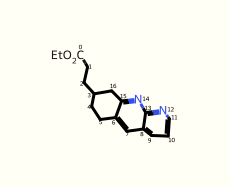 CCOC(=O)CCC1CCc2cc3cccnc3nc2C1